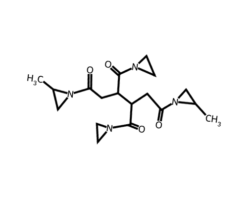 CC1CN1C(=O)CC(C(=O)N1CC1)C(CC(=O)N1CC1C)C(=O)N1CC1